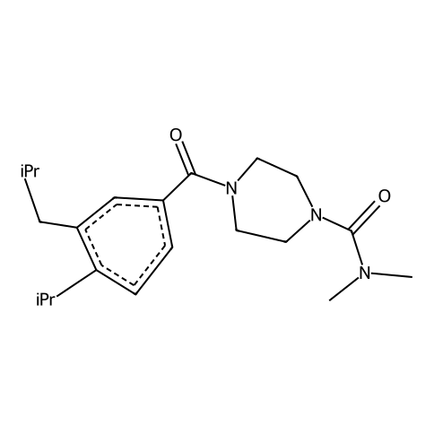 CC(C)Cc1cc(C(=O)N2CCN(C(=O)N(C)C)CC2)ccc1C(C)C